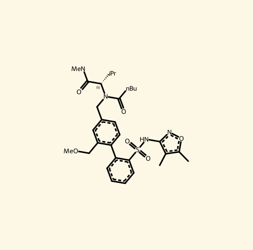 CCCCC(=O)N(Cc1ccc(-c2ccccc2S(=O)(=O)Nc2noc(C)c2C)c(COC)c1)[C@H](C(=O)NC)C(C)C